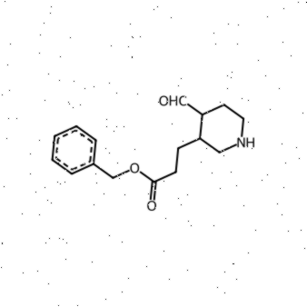 O=CC1CCNCC1CCC(=O)OCc1ccccc1